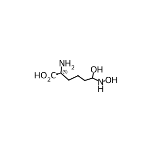 N[C@@H](CCCC(O)NO)C(=O)O